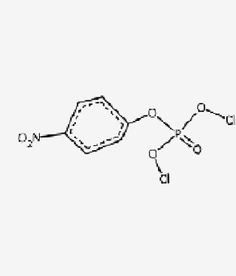 O=[N+]([O-])c1ccc(OP(=O)(OCl)OCl)cc1